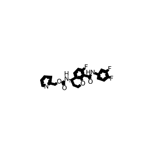 O=C(N[C@H]1CCOc2c1ccc(F)c2C(=O)Nc1ccc(F)c(F)c1)OCc1ccccn1